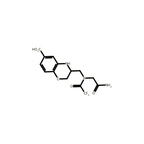 NC(=O)CN(CC1COc2ccc(C(=O)O)cc2N1)C(=O)C(F)(F)F